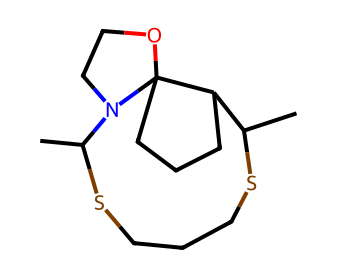 CC1SCCCSC(C)N2CCOC23CCCC13